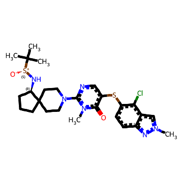 Cn1cc2c(Cl)c(Sc3cnc(N4CCC5(CCC[C@H]5N[S@+]([O-])C(C)(C)C)CC4)n(C)c3=O)ccc2n1